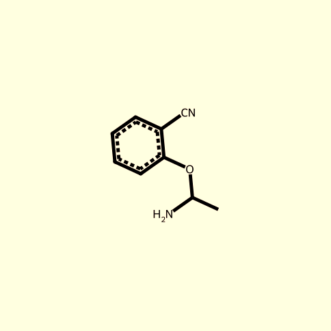 CC(N)Oc1ccccc1C#N